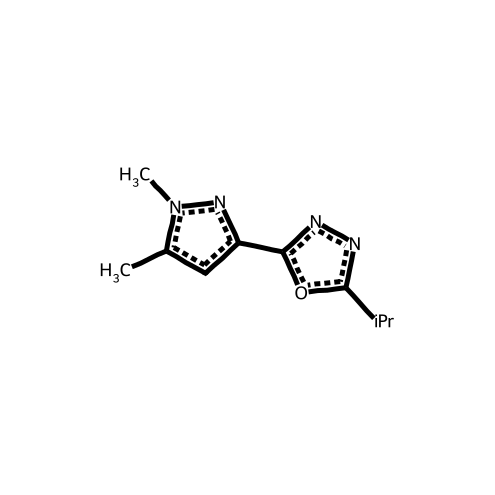 Cc1cc(-c2nnc(C(C)C)o2)nn1C